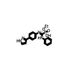 CCOP(=O)(O)/C(=N/c1ccc(-c2cc[nH]n2)cc1)Nc1ccccc1